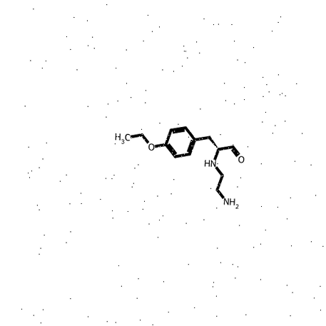 CCOc1ccc(C[C@@H]([C]=O)NCCN)cc1